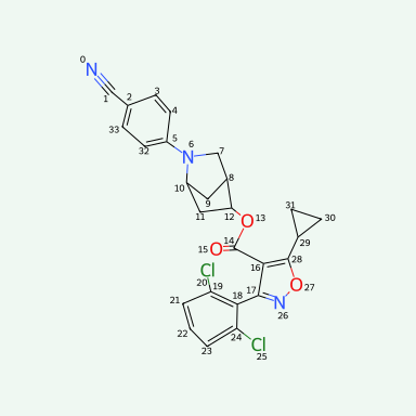 N#Cc1ccc(N2CC3CC2CC3OC(=O)c2c(-c3c(Cl)cccc3Cl)noc2C2CC2)cc1